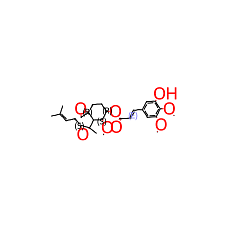 COc1cc(/C=C/C(=O)O[C@@H]2CC[C@]3(CO3)C(C3(C)O[C@H]3CC=C(C)C)[C@@H]2OC)cc(O)c1OC